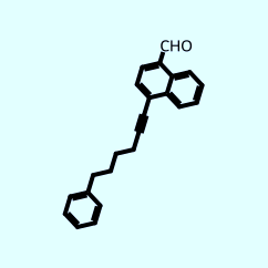 O=Cc1ccc(C#CCCCCc2ccccc2)c2ccccc12